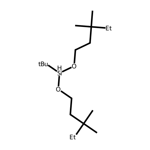 CCC(C)(C)CCO[SiH](OCCC(C)(C)CC)C(C)(C)C